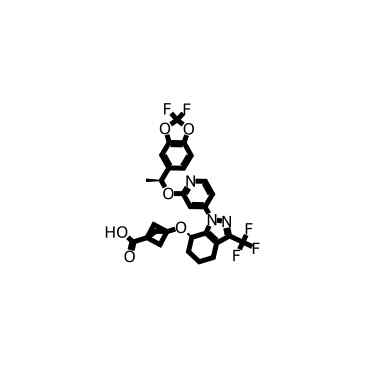 C[C@H](Oc1cc(-n2nc(C(F)(F)F)c3c2[C@@H](OC24CC(C(=O)O)(C2)C4)CCC3)ccn1)c1ccc2c(c1)OC(F)(F)O2